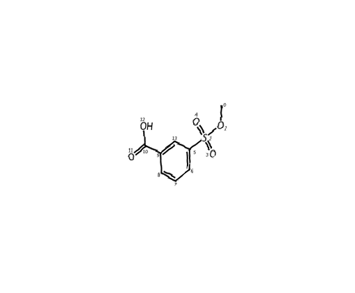 COS(=O)(=O)c1cccc(C(=O)O)c1